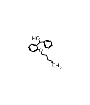 C=CCCCOc1ccccc1C(O)c1ccccc1